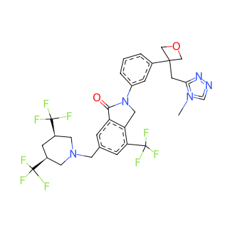 Cn1cnnc1CC1(c2cccc(N3Cc4c(cc(CN5C[C@H](C(F)(F)F)C[C@H](C(F)(F)F)C5)cc4C(F)(F)F)C3=O)c2)COC1